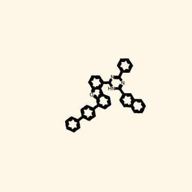 c1ccc(C2=NC(c3cccc4oc5c(-c6ccc(-c7ccccc7)cc6)cccc5c34)NC(c3ccc4ccccc4c3)=N2)cc1